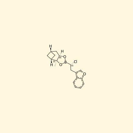 C[C@@]12OB([C@H](Cl)Cc3coc4ccccc34)O[C@@H]1C[C@H]1C[C@@H]2C1